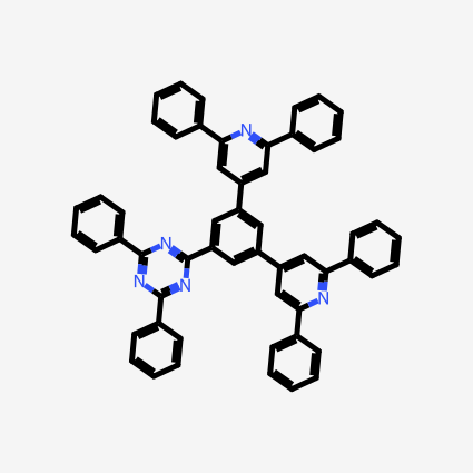 c1ccc(-c2cc(-c3cc(-c4cc(-c5ccccc5)nc(-c5ccccc5)c4)cc(-c4nc(-c5ccccc5)nc(-c5ccccc5)n4)c3)cc(-c3ccccc3)n2)cc1